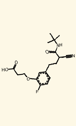 CC(C)(C)NC(=O)C(C#N)CCc1ccc(F)c(OCCC(=O)O)c1